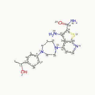 CC(O)c1ccc(N2CCCN(c3ccnc4sc(C(N)=O)c(N)c34)CC2)cc1